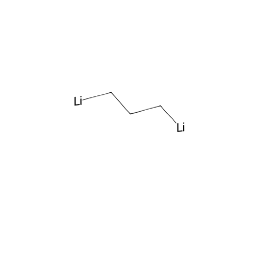 [Li][CH2]C[CH2][Li]